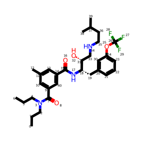 CCCN(CCC)C(=O)c1cc(C)cc(C(=O)N[C@@H](Cc2cccc(OC(F)(F)F)c2)[C@H](O)CNCCC(C)C)c1